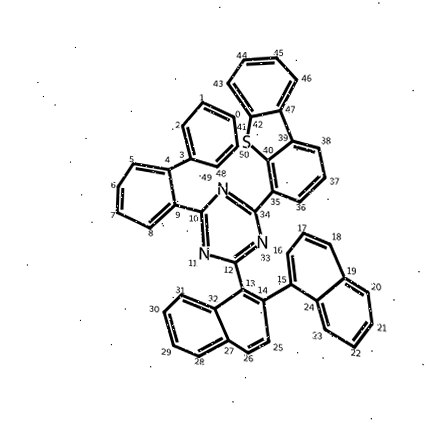 c1ccc(-c2ccccc2-c2nc(-c3c(-c4cccc5ccccc45)ccc4ccccc34)nc(-c3cccc4c3sc3ccccc34)n2)cc1